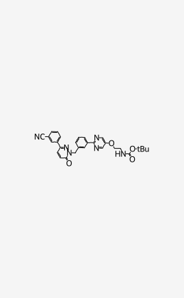 CC(C)(C)OC(=O)NCCOc1cnc(-c2cccc(Cn3nc(-c4cccc(C#N)c4)ccc3=O)c2)nc1